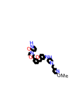 COc1ccc(CCN2CCC(Nc3ccc4c(c3)Cc3cccc(C5CN(c6ccc[nH]c6=O)CCO5)c3O4)CC2)cn1